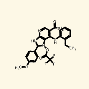 CCc1ccccc1Nc1c(C(N)=O)cnc2c1N(OC(=O)C(F)(F)F)C(c1ccc(OC)cc1)N2